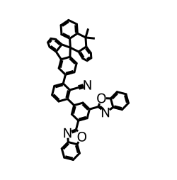 CC1(C)c2ccccc2C2(c3ccccc3-c3cc(-c4cccc(-c5cc(-c6nc7ccccc7o6)cc(-c6nc7ccccc7o6)c5)c4C#N)ccc32)c2ccccc21